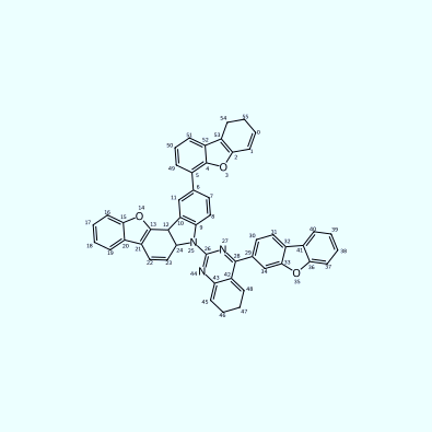 C1=Cc2oc3c(-c4ccc5c(c4)C4c6oc7ccccc7c6C=CC4N5c4nc(-c5ccc6c(c5)oc5ccccc56)c5c(n4)=CCCC=5)cccc3c2CC1